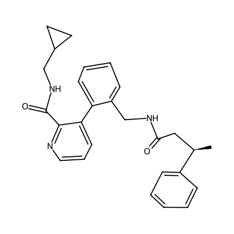 C[C@H](CC(=O)NCc1ccccc1-c1cccnc1C(=O)NCC1CC1)c1ccccc1